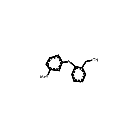 CSc1cccc(Sc2ccccc2CO)c1